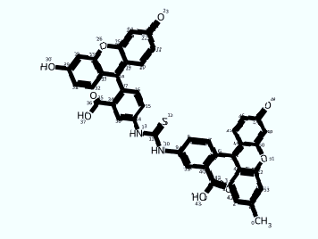 Cc1ccc2c(-c3ccc(NC(=S)Nc4ccc(-c5c6ccc(=O)cc-6oc6cc(O)ccc56)c(C(=O)O)c4)cc3C(=O)O)c3ccc(=O)cc-3oc2c1